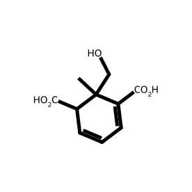 CC1(CO)C(C(=O)O)=CC=CC1C(=O)O